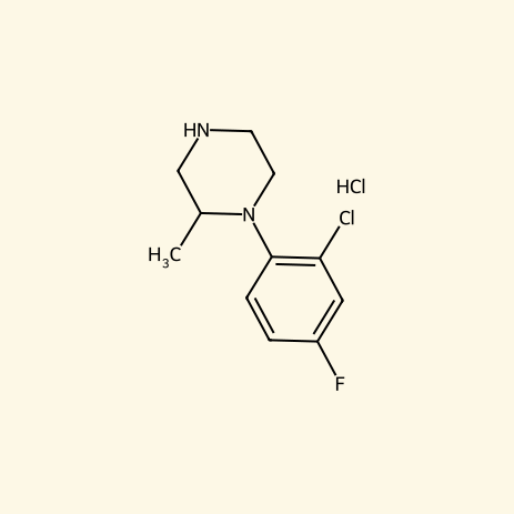 CC1CNCCN1c1ccc(F)cc1Cl.Cl